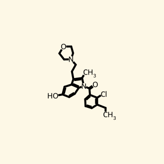 CCc1cccc(C(=O)n2c(C)c(CCN3CCOCC3)c3cc(O)ccc32)c1Cl